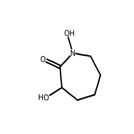 O=C1C(O)CCCCN1O